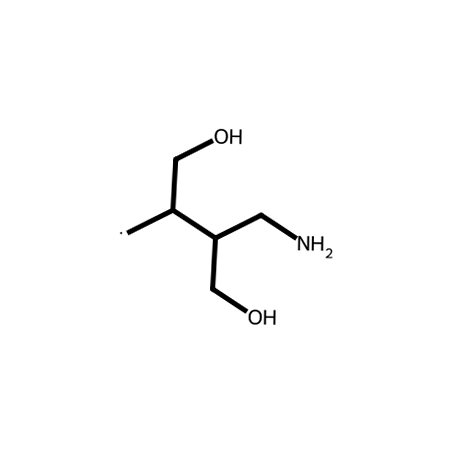 [CH2]C(CO)C(CN)CO